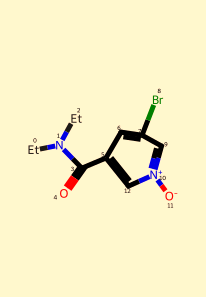 CCN(CC)C(=O)c1cc(Br)c[n+]([O-])c1